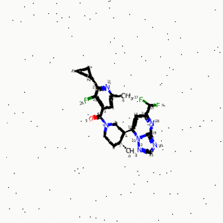 Cc1cc(C(=O)N2CC[C@@H](C)[C@H](c3cc(C(F)F)nc4ncnn34)C2)c(F)c(C2CC2)n1